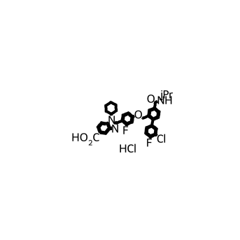 CC(C)NC(=O)c1ccc(-c2ccc(F)c(Cl)c2)c(COc2ccc(-c3nc4cc(C(=O)O)ccc4n3C3CCCCC3)c(F)c2)c1.Cl